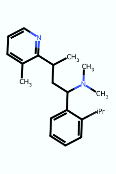 Cc1cccnc1C(C)CC(c1ccccc1C(C)C)N(C)C